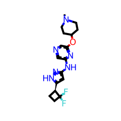 CN1CCC(Oc2cncc(Nc3cc([C@@H]4CCC4(F)F)[nH]n3)n2)CC1